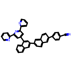 N#Cc1ccc(-c2ccc3cc(-c4cc(-c5cc(-c6ccccn6)nc(-c6ccccn6)c5)c5ccccc5c4)ccc3c2)cc1